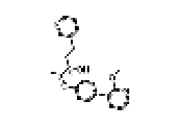 COc1ncccc1-c1ccc(O[C@@H](C)[C@H](O)CCc2cccnc2)cc1